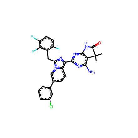 CC1(C)C(=O)Nc2nc(-c3nc(Cc4c(F)ccc(F)c4F)n4cc(-c5cccc(Cl)c5)ccc34)nc(N)c21